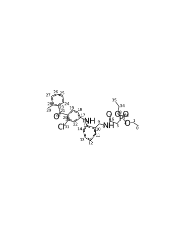 CCOP(=O)(CC(=O)NCc1ccccc1Nc1ccc(C(=O)c2ccccc2C)c(Cl)c1)OCC